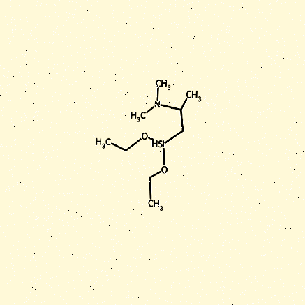 CCO[SiH](CC(C)N(C)C)OCC